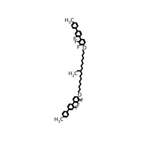 C=CC(CCCCCCCCOc1ccc(-c2ccc(-c3ccc(C)cc3)cc2F)c(F)c1F)CCCCCCCCOc1ccc(-c2ccc(-c3ccc(C)cc3)cc2F)c(F)c1F